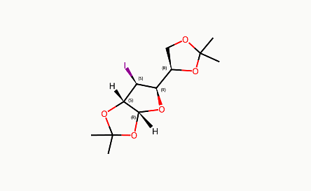 CC1(C)O[C@H]2O[C@H]([C@H]3COC(C)(C)O3)[C@H](I)[C@H]2O1